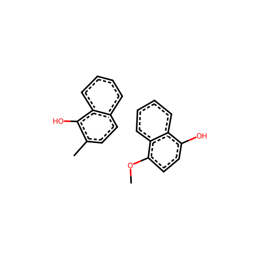 COc1ccc(O)c2ccccc12.Cc1ccc2ccccc2c1O